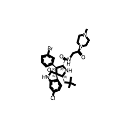 CN1CCN(C(=O)CNC(=O)[C@@H]2N[C@H](CC(C)(C)C)[C@]3(C(=O)Nc4cc(Cl)ccc43)[C@H]2c2cccc(Br)c2)CC1